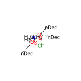 CCCCCCCCCCCCCCCCCCOC(=O)[C@H](CCC(=O)OC(CCCCCCCCCCCCCC)CCCCCCCCCCCCCC)[N+](C)(C)C.[Cl-]